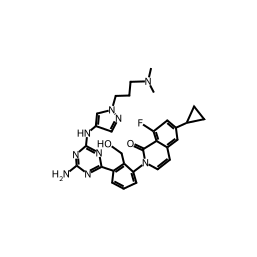 CN(C)CCCn1cc(Nc2nc(N)nc(-c3cccc(-n4ccc5cc(C6CC6)cc(F)c5c4=O)c3CO)n2)cn1